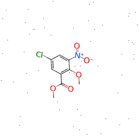 COC(=O)c1cc(Cl)cc([N+](=O)[O-])c1OC